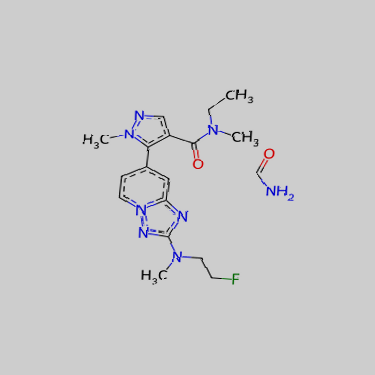 CCN(C)C(=O)c1cnn(C)c1-c1ccn2nc(N(C)CCF)nc2c1.NC=O